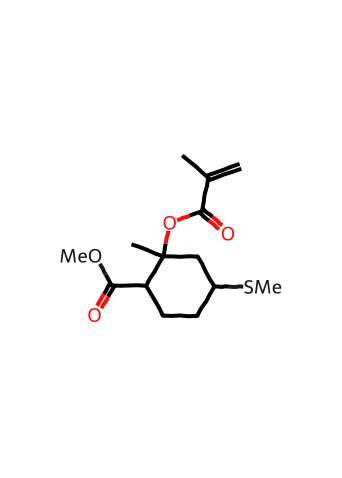 C=C(C)C(=O)OC1(C)CC(SC)CCC1C(=O)OC